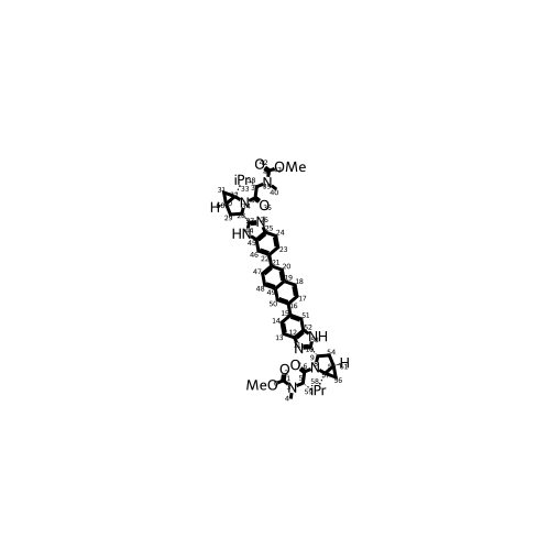 COC(=O)N(C)[C@H](C(=O)N1[C@H](c2nc3ccc(-c4ccc5cc(-c6ccc7nc([C@@H]8C[C@H]9C[C@@]9(C)N8C(=O)[C@H](C(C)C)N(C)C(=O)OC)[nH]c7c6)ccc5c4)cc3[nH]2)C[C@H]2C[C@]21C)C(C)C